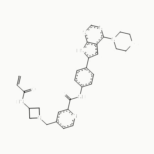 C=CC(=O)NC1CN(Cc2ccnc(C(=O)Nc3ccc(-c4cc5c(N6CCOCC6)ncnc5[nH]4)cc3)c2)C1